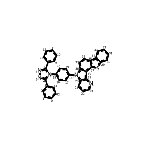 c1ccc(-c2nnc(-c3ccccc3)n2-c2ccc(-n3c4cccnc4c4c5sc6ccccc6c5ccc43)cc2)cc1